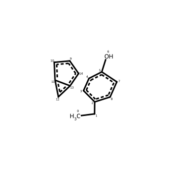 CCc1ccc(O)cc1.c1cc2cc-2c1